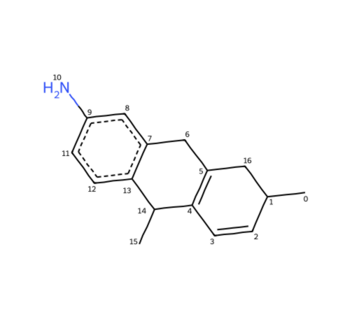 CC1C=CC2=C(Cc3cc(N)ccc3C2C)C1